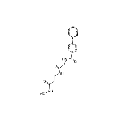 O=C(CCNC(=O)CNC(=O)c1ccc(-c2ccccc2)cc1)NO